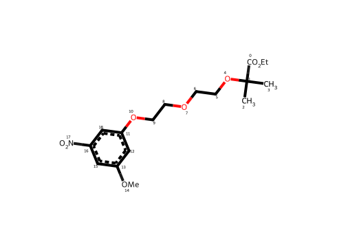 CCOC(=O)C(C)(C)OCCOCCOc1cc(OC)cc([N+](=O)[O-])c1